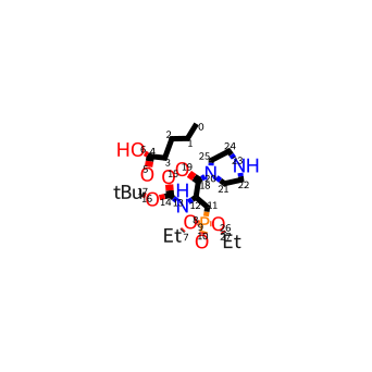 CCCCC(=O)O.CCOP(=O)(CC(NC(=O)OC(C)(C)C)C(=O)N1CCNCC1)OCC